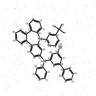 CC(C)(C)c1ccnc(N2c3ccccc3-c3ccccc3-c3ccc(N(c4ccccc4)c4cc(Br)cc(-c5ccccc5)c4)cc32)c1